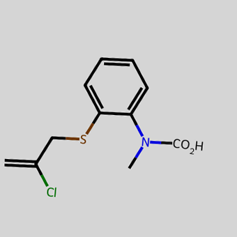 C=C(Cl)CSc1ccccc1N(C)C(=O)O